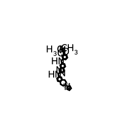 CN(C)S(=O)(=O)c1cccc(Nc2ccc3cnc(Nc4ccc5c(c4)CC[C@@H](N4CCCC4)CC5)nc3c2)c1